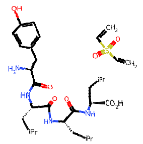 C=CS(=O)(=O)C=C.CC(C)C[C@H](NC(=O)[C@H](CC(C)C)NC(=O)[C@H](CC(C)C)NC(=O)[C@@H](N)Cc1ccc(O)cc1)C(=O)O